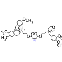 COc1ccc(C[C@@H]2c3cc(C)c(C)cc3CC[N@@+]2(C)CCCOC(=O)/C=C\C(=O)OCCC[N+]2(Cc3ccc(OC)c(OC)c3)CCOCC2)cc1